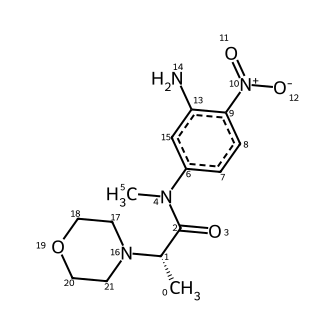 C[C@@H](C(=O)N(C)c1ccc([N+](=O)[O-])c(N)c1)N1CCOCC1